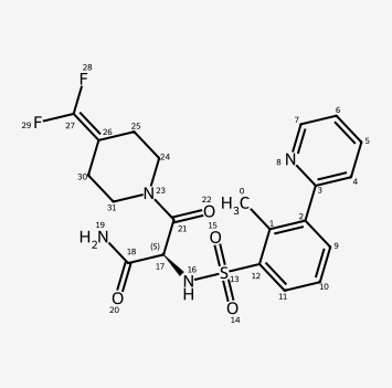 Cc1c(-c2ccccn2)cccc1S(=O)(=O)N[C@@H](C(N)=O)C(=O)N1CCC(=C(F)F)CC1